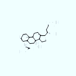 [2H]C([2H])(C)[C@H]1[C@@H](O)[C@@H]2[C@H](CC[C@]3(C)[C@@H]([C@H](C)CCC(=O)O)CC[C@@H]23)[C@@]2(C)CCCC[C@@H]12